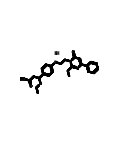 CCOC(CC(=O)O)c1ccc(OCCn2c(CC)nc(-c3ccccc3)cc2=O)cc1.[KH]